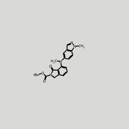 CN(c1ccc2c(cnn2C)c1)c1cccc2c1C(=O)N(C(=O)OC(C)(C)C)C2